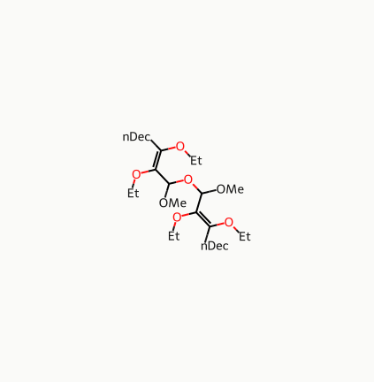 CCCCCCCCCCC(OCC)=C(OCC)C(OC)OC(OC)C(OCC)=C(CCCCCCCCCC)OCC